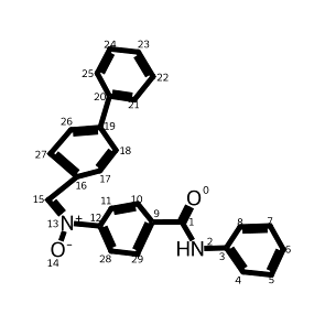 O=C(Nc1ccccc1)c1ccc(/[N+]([O-])=C\c2ccc(-c3ccccc3)cc2)cc1